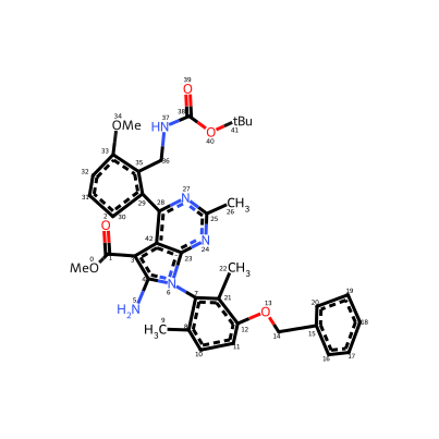 COC(=O)c1c(N)n(-c2c(C)ccc(OCc3ccccc3)c2C)c2nc(C)nc(-c3cccc(OC)c3CNC(=O)OC(C)(C)C)c12